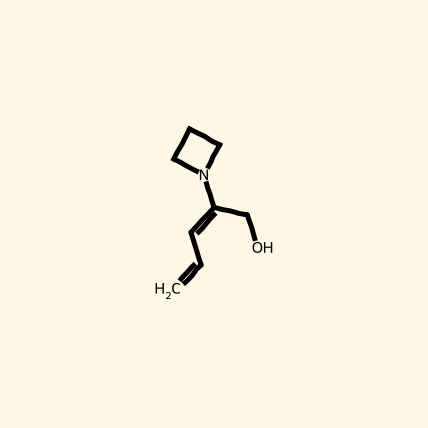 C=C/C=C(\CO)N1CCC1